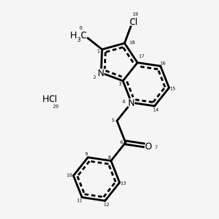 Cc1nc2n(CC(=O)c3ccccc3)cccc-2c1Cl.Cl